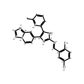 Cc1cccc(-c2[nH]c(N=Cc3cc(Cl)ccc3F)nc2-c2ccn3ncnc3c2)n1